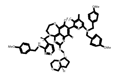 COc1ccc(CNc2nnccc2[C@@H](C)N2CCOc3c(Cl)c(-c4nc(N(Cc5ccc(OC)cc5)Cc5ccc(OC)cc5)cc(C)c4C(F)(F)F)c(F)c4nc(OC[C@@H]5CC[C@H]6COCCN65)nc2c34)cc1